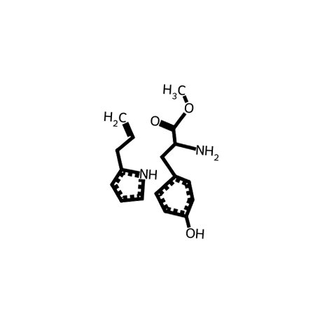 C=CCc1ccc[nH]1.COC(=O)C(N)Cc1ccc(O)cc1